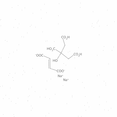 O=C(O)CC(O)(CC(=O)O)C(=O)O.O=C([O-])/C=C/C(=O)[O-].[Na+].[Na+]